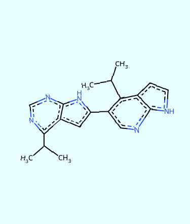 CC(C)c1ncnc2[nH]c(-c3cnc4[nH]ccc4c3C(C)C)cc12